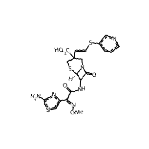 CON=C(C(=O)NC1C(=O)N2CC(C=CSc3cccnc3)(C(=O)O)CS[C@H]12)c1csc(N)n1